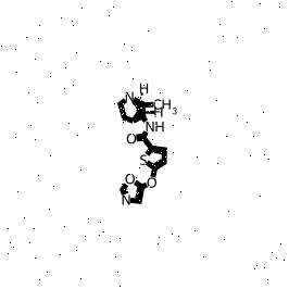 C[C@H]1[C@H](NC(=O)c2ccc(Oc3cnco3)s2)C2CCN1CC2